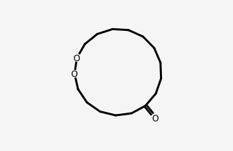 O=C1CCCCCCCCCOOCCCCC1